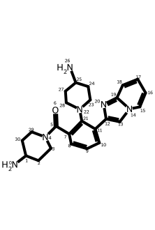 NC1CCN(C(=O)c2cccc(-c3cn4ccccc4n3)c2N2CCC(N)CC2)CC1